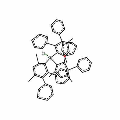 Cc1cc(C)c([Si](Cl)(c2c(C)cc(C)c(-c3ccccc3)c2-c2ccccc2)c2c(C)cc(C)c(-c3ccccc3)c2-c2ccccc2)c(-c2ccccc2)c1-c1ccccc1